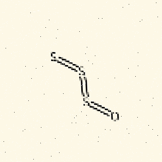 O=S=S=S